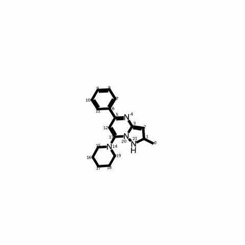 CC1C=C2N=C(c3ccccc3)C=C(N3CCCCC3)N2N1